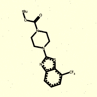 CC(C)(C)OC(=O)N1CCN(c2nc3cccc(C(F)(F)F)c3s2)CC1